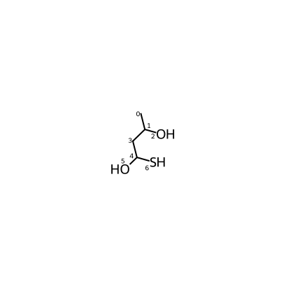 CC(O)CC(O)S